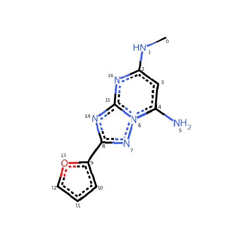 CNc1cc(N)n2nc(-c3ccco3)nc2n1